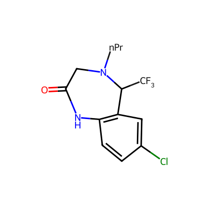 CCCN1CC(=O)Nc2ccc(Cl)cc2C1C(F)(F)F